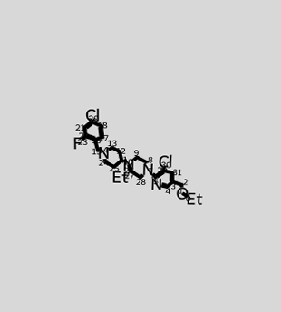 CCOCc1cnc(N2CCN(C3CCN(Cc4ccc(Cl)cc4F)CC3)[C@@H](CC)C2)c(Cl)c1